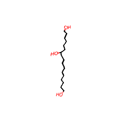 OCCCCCCCCCC(O)CCCCCCO